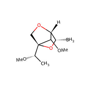 B[C@@H]1O[C@@]2([C@H](C)OC)CO[C@H]1C2OC